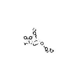 Cn1c(=O)n(C2CCC(=O)NC2=O)c2ccc(CC[C@H]3CC[C@@H](C(=O)N4CC[C@H]5CC[C@@H](C(=O)N[C@@H](CCC(N)=O)C(=O)NC(c6ccccc6)c6ccccc6)N5C(=O)[C@@H](NC(=O)c5cc6cc(C(=O)P(=O)(O)O)ccc6[nH]5)C4)CC3)cc21